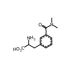 CN(C)C(=O)c1cccc(CC(N)C(=O)O)c1